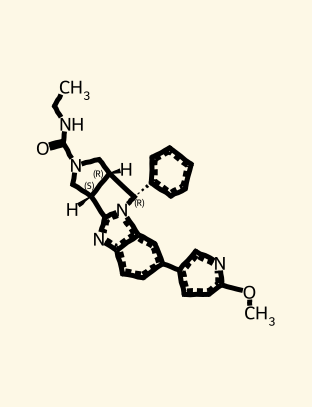 CCNC(=O)N1C[C@H]2[C@@H](C1)c1nc3ccc(-c4ccc(OC)nc4)cc3n1[C@H]2c1ccccc1